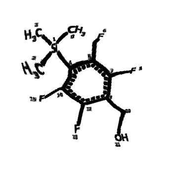 C[Si](C)(C)c1c(F)c(F)c(CO)c(F)c1F